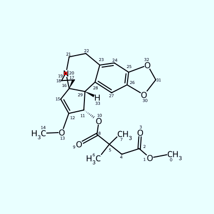 COC(=O)CC(C)(C)C(=O)O[C@@H]1C(OC)=C[C@]23CCCN2CCc2cc4c(cc2[C@H]13)OCO4